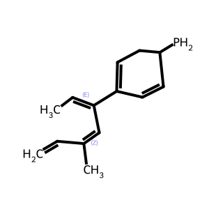 C=C/C(C)=C\C(=C/C)C1=CCC(P)C=C1